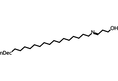 CCCCCCCCCCCCCCCCCCCCCCCCCCN=CCCO